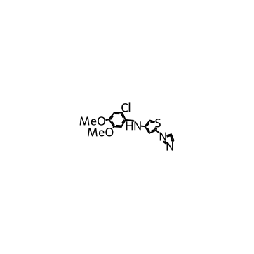 COc1cc(Cl)c(CNc2csc(-n3ccnc3)c2)cc1OC